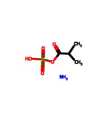 CC(C)C(=O)OS(=O)(=O)O.N